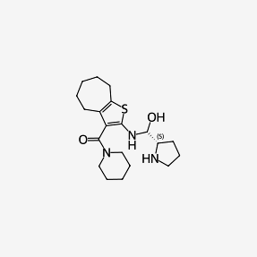 O=C(c1c(NC(O)[C@@H]2CCCN2)sc2c1CCCCC2)N1CCCCC1